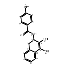 CCCc1ccc(C(=O)NN2Cc3ccccc3C(O)=C2O)cc1